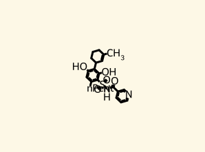 CCCCCc1cc(O)c(C2C=C(C)CCC2)c(O)c1S(=O)(=O)NC(=O)c1cccnc1